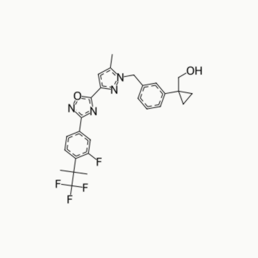 Cc1cc(-c2nc(-c3ccc(C(C)(C)C(F)(F)F)c(F)c3)no2)nn1Cc1cccc(C2(CO)CC2)c1